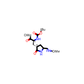 CONCC1C[C@@H](C[C@H](NC(=O)OC(C)(C)C)C(=O)OC)C(=O)N1